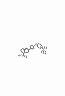 O=C(O)c1cccc2cc(-c3ccc([C@H]4CC45CCN(C(=O)C4CCCO4)CC5)cc3)ccc12